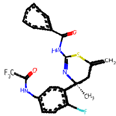 C=C1C[C@@](C)(c2cc(NC(=O)C(F)(F)F)ccc2F)N=C(NC(=O)c2ccccc2)S1